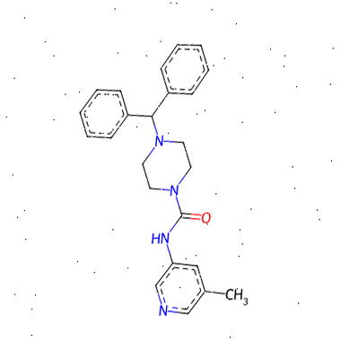 Cc1cncc(NC(=O)N2CCN(C(c3ccccc3)c3ccccc3)CC2)c1